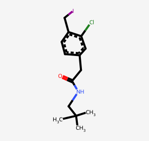 CC(C)(C)CNC(=O)Cc1ccc(CI)c(Cl)c1